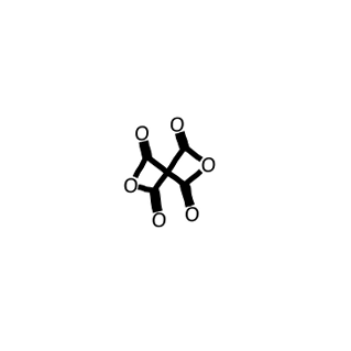 O=C1OC(=O)C12C(=O)OC2=O